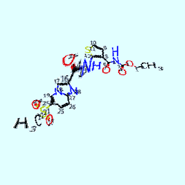 CCOC(=O)NC(=O)c1ccsc1NC(=O)c1cn2cc(S(C)(=O)=O)ccc2n1